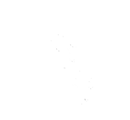 COc1cc2c(cn1)CN(c1ncccn1)C2